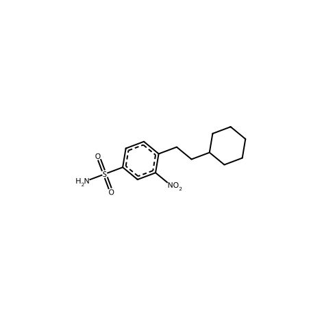 NS(=O)(=O)c1ccc(CCC2CCCCC2)c([N+](=O)[O-])c1